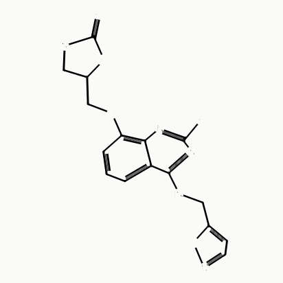 O=C1NCC(COc2cccc3c(NCc4ccns4)nc(Cl)nc23)O1